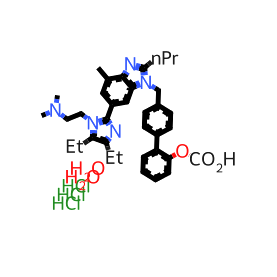 CCCc1nc2c(C)cc(-c3nc(CC)c(CC)n3CCN(C)C)cc2n1Cc1ccc(-c2ccccc2OC(=O)O)cc1.Cl.Cl.Cl.O.O